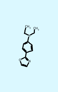 CCN(CC)c1ccc(-c2ncco2)cc1